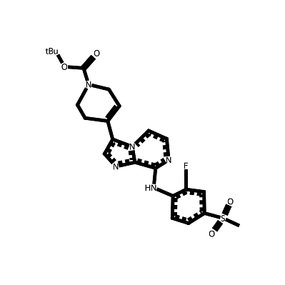 CC(C)(C)OC(=O)N1CC=C(c2cnc3c(Nc4ccc(S(C)(=O)=O)cc4F)nccn23)CC1